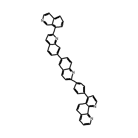 c1cc(-c2ccc3ccc(-c4ccc5nc(-c6ccc(-c7ccnc8c7ccc7cccnc78)cc6)ccc5c4)cc3n2)c2cnccc2c1